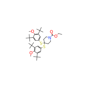 CCOC(=O)N1CCC(Sc2cc(C(C)(C)C)c(OC)c(C(C)(C)C)c2)(Sc2cc(C(C)(C)C)c(OC)c(C(C)(C)C)c2)CC1